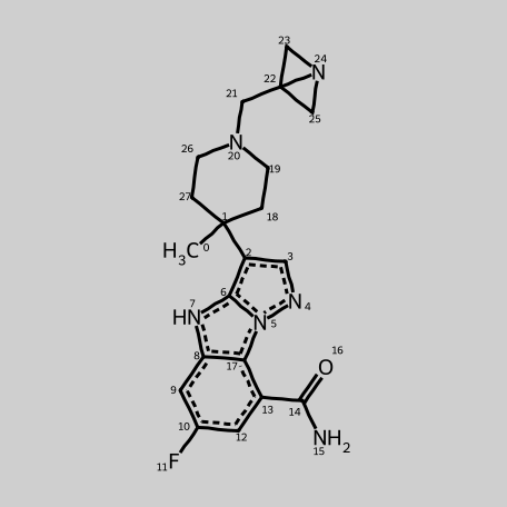 CC1(c2cnn3c2[nH]c2cc(F)cc(C(N)=O)c23)CCN(CC23CN2C3)CC1